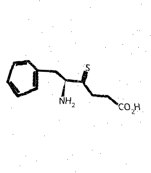 N[C@@H](Cc1ccccc1)C(=S)CCC(=O)O